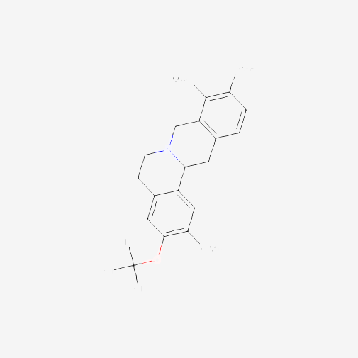 [2H]C([2H])([2H])Oc1cc2c(cc1OC)C1Cc3ccc(OC)c(OC)c3CN1CC2